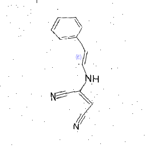 N#CC=C(C#N)N/[C]=C/c1ccccc1